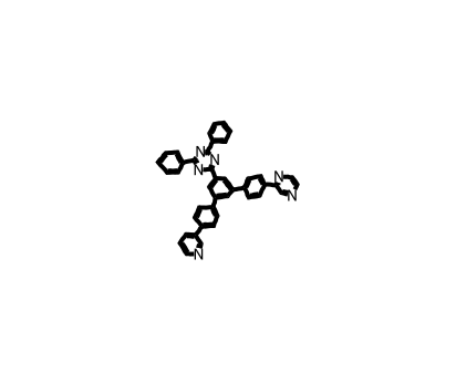 c1ccc(-c2nc(-c3ccccc3)nc(-c3cc(-c4ccc(-c5cccnc5)cc4)cc(-c4ccc(-c5cnccn5)cc4)c3)n2)cc1